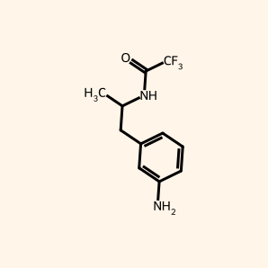 CC(Cc1cccc(N)c1)NC(=O)C(F)(F)F